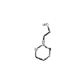 OCC[SiH]1CCCCO1